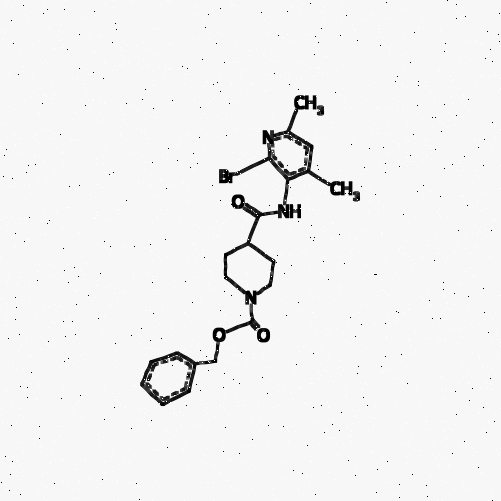 Cc1cc(C)c(NC(=O)C2CCN(C(=O)OCc3ccccc3)CC2)c(Br)n1